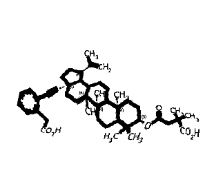 C=C(C)[C@@H]1CC[C@]2(C#Cc3ccccc3CC(=O)O)CC[C@]3(C)C(CCC4[C@@]5(C)CC[C@H](OC(=O)CC(C)(C)C(=O)O)C(C)(C)C5CC[C@]43C)C12